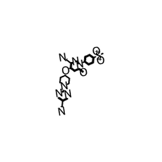 CS(=O)(=O)c1ccc(-n2nc(C#N)c(OC3CCN(c4ncc(C#N)cn4)CC3)cc2=O)cc1